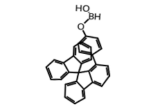 OBOc1ccc(-c2cccc3c2C2(c4ccccc4-c4ccccc42)c2ccccc2-3)cc1